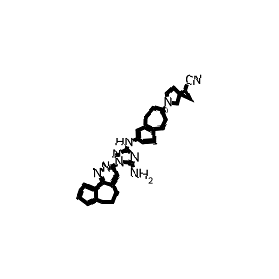 N#CC1CC12CCN([C@H]1CCc3ccc(Nc4nc(N)n(-c5cc6c(nn5)-c5ccccc5CCC6)n4)cc3CC1)C2